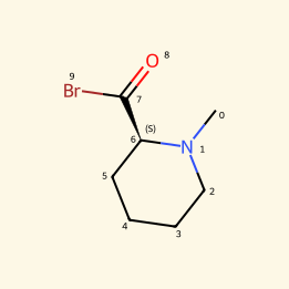 CN1CCCC[C@H]1C(=O)Br